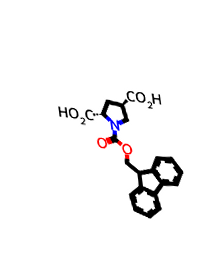 O=C(O)[C@@H]1C[C@@H](C(=O)O)N(C(=O)OCC2c3ccccc3-c3ccccc32)C1